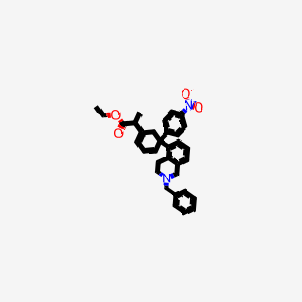 CCOC(=O)C(C)C1=CC=CC(c2ccc([N+](=O)[O-])cc2)(c2cccc3c2CCN(Cc2ccccc2)C3)C1